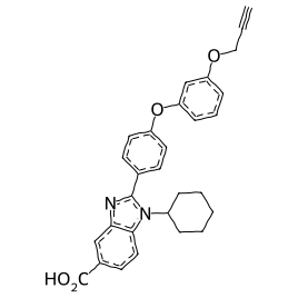 C#CCOc1cccc(Oc2ccc(-c3nc4cc(C(=O)O)ccc4n3C3CCCCC3)cc2)c1